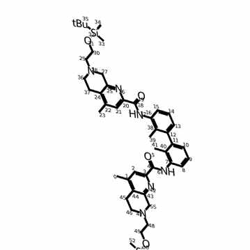 Cc1cc(C(=O)Nc2cccc(-c3cccc(NC(=O)c4cc(C)c5c(n4)CN(CCO[Si](C)(C)C(C)(C)C)CC5)c3C)c2C)nc2c1CCN(CCO[Si](C)(C)C(C)(C)C)C2